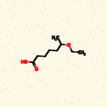 CCOC(C)CCCCC(=O)O